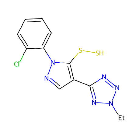 CCn1nnc(-c2cnn(-c3ccccc3Cl)c2SS)n1